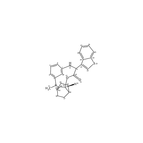 CC(=O)c1cccc(NC(C(=O)O[C@H]2CN3CCC2CC3)c2csc3ccccc23)c1